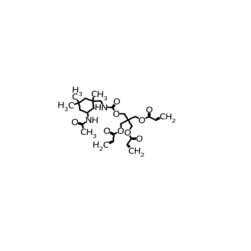 C=CC(=O)OCC(COC(=O)C=C)(COC(=O)C=C)COC(=O)NCC1(C)CC(NC(C)=O)CC(C)(C)C1